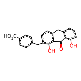 O=C(O)c1ccc(Cc2ccc3c(c2O)C(=O)c2c(O)cccc2C3)cc1